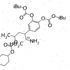 CCC(C)OC(=O)Oc1ccc(C(CC(C)OC(=O)OC2CCCCC2)[C@H](N)C(=O)O)cc1OC(=O)OC(C)CC